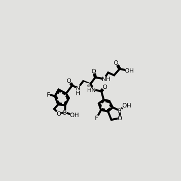 O=C(O)CCNC(=O)[C@H](CNC(=O)c1cc(F)c2c(c1)B(O)OC2)NC(=O)c1cc(F)c2c(c1)B(O)OC2